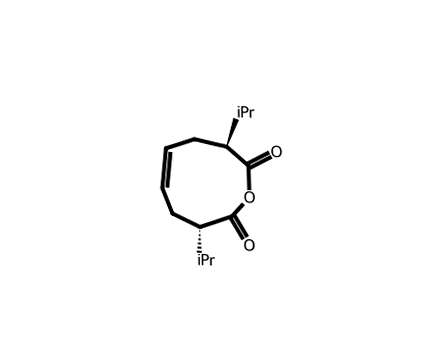 CC(C)[C@@H]1C/C=C\C[C@@H](C(C)C)C(=O)OC1=O